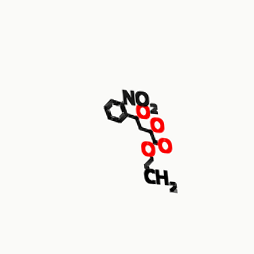 C=CCOC(=O)C(=O)CC(=O)c1ccccc1[N+](=O)[O-]